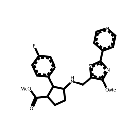 COC(=O)C1CCC(NCc2sc(-c3ccncc3)nc2OC)C1c1ccc(F)cc1